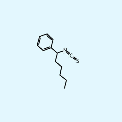 CCCCCC(N=C=S)c1ccccc1